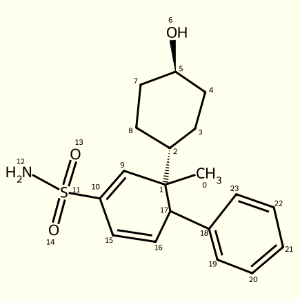 CC1([C@H]2CC[C@H](O)CC2)C=C(S(N)(=O)=O)C=CC1c1ccccc1